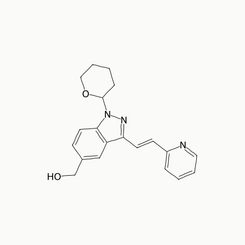 OCc1ccc2c(c1)c(C=Cc1ccccn1)nn2C1CCCCO1